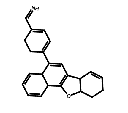 N=CC1=CC=C(C2=CC3=C(OC4CCC=CC34)C3C=CC=CC23)CC1